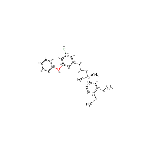 CCc1ccc(C(C)(C)CCCc2cc(F)cc(Oc3ccccc3)c2)cc1CC